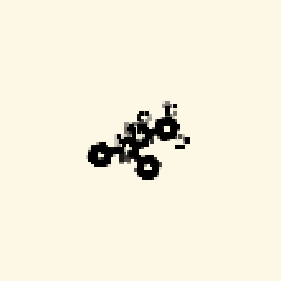 COc1cc(OC)cc(C(Cc2c(N)nc(-c3ccccc3)nc2-c2ccccc2)C(=O)O)c1